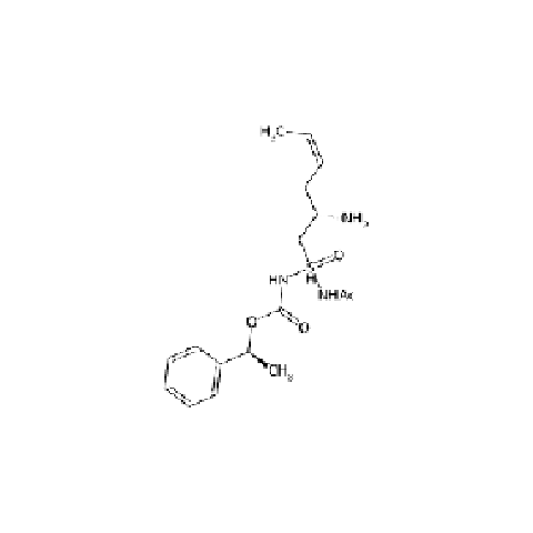 C/C=C\C[C@H](N)C[SH](=O)(NC(C)=O)NC(=O)O[C@@H](C)c1ccccc1